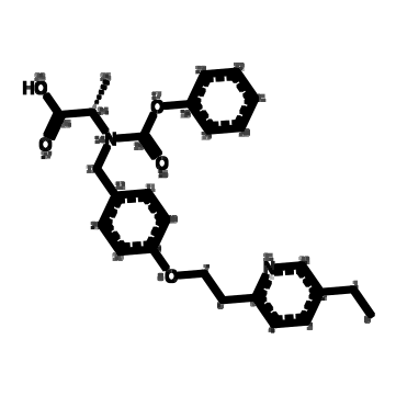 CCc1ccc(CCOc2ccc(CN(C(=O)Oc3ccccc3)[C@@H](C)C(=O)O)cc2)nc1